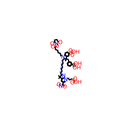 CON(C)C(=O)c1cc2c([n+](CCCS(=O)(=O)O)c1)N=C(/C=C/C=C/C=C/C=C1/N(CCCCCC(=O)ON3C(=O)CCC3=O)c3ccc(S(=O)(=O)O)cc3C1(C)Cc1cccc(B(O)O)c1)C2(C)C